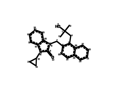 CC(C)(O)Cc1c(Cn2c(=O)n(C3CC3)c3ccncc32)ncc2ccccc12